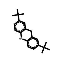 CC(C)(C)c1ccc2c(c1)Cc1cc(C(C)(C)C)ccc1N2